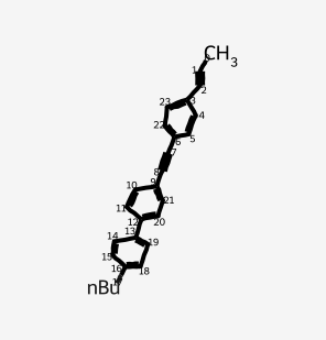 CC#Cc1ccc(C#Cc2ccc(-c3ccc(CCCC)cc3)cc2)cc1